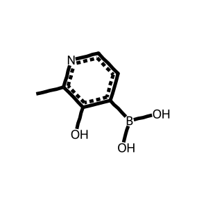 Cc1nccc(B(O)O)c1O